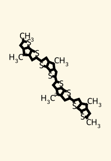 CC1CC2C(C)C3CC(C4CC5C(S4)C4SC(C6CC7C(C)C8CC(C9CC%10C(S9)C9SC(C)CC9[C@H]%10C)SC8C7S6)CC4[C@H]5C)SC3C2S1